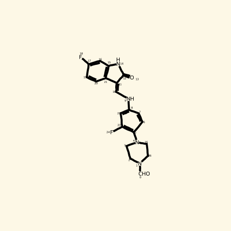 O=CN1CCN(c2ccc(NC=C3C(=O)Nc4cc(F)ccc43)cc2F)CC1